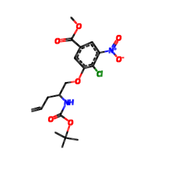 C=CCC(COc1cc(C(=O)OC)cc([N+](=O)[O-])c1Cl)NC(=O)OC(C)(C)C